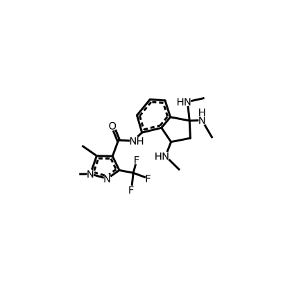 CNC1CC(NC)(NC)c2cccc(NC(=O)c3c(C(F)(F)F)nn(C)c3C)c21